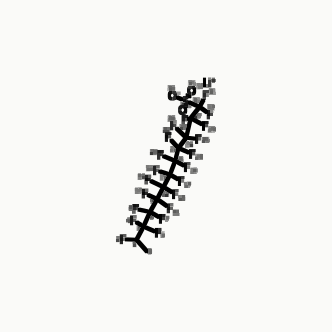 CC(F)C(F)(F)C(F)(F)C(F)(F)C(F)(F)C(F)(F)C(F)(F)C(F)(F)C(F)(F)C(F)(F)C(F)(F)S(=O)(=O)[O-].[Li+]